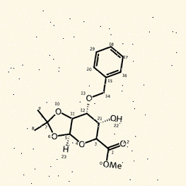 COC(=O)C1O[C@H]2OC(C)(C)OC2[C@H](OCc2ccccc2)[C@@H]1O